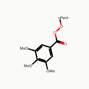 [CH2]CCC[CH]OOC(=O)c1cc(OC)c(OC)c(OC)c1